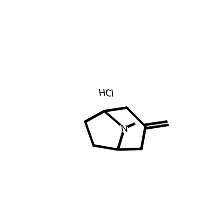 C=C1CC2CCC(C1)N2C.Cl